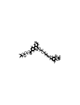 CC(C)(C)OC(=O)OCOC(=O)c1ccc2c(c1)nc(OCCOCCCCNCc1cc(F)c(OC(F)(F)F)c(F)c1)c1ccncc12